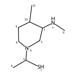 CNC1CN(C(C)S)CCC1C